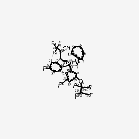 O[C@H](CN[C@](Cc1ccccc1)(c1ccc(F)cc1)c1cc(F)cc(OC(F)(F)C(F)F)c1)C(F)(F)F